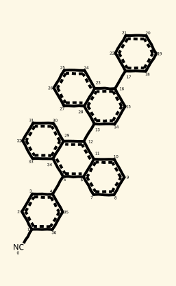 N#Cc1ccc(-c2c3ccccc3c(-c3ccc(-c4ccccc4)c4ccccc34)c3ccccc23)cc1